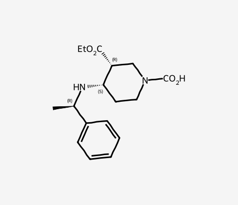 CCOC(=O)[C@@H]1CN(C(=O)O)CC[C@@H]1N[C@H](C)c1ccccc1